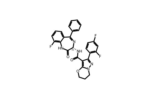 O=C(N[C@H]1N=C(c2ccccc2)c2cccc(F)c2NC1=O)c1c(-c2ccc(F)cc2F)nn2c1OCCC2